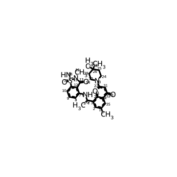 Cc1cc([C@@H](C)Nc2cccc3c2C(=O)N(C)S3(=N)=O)c2oc(N3CCC(C)(C)CC3)cc(=O)c2c1